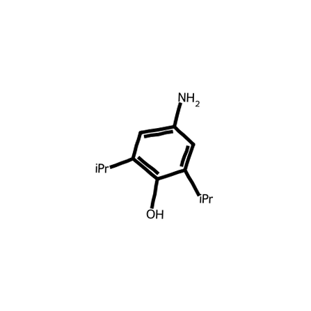 CC(C)c1cc(N)cc(C(C)C)c1O